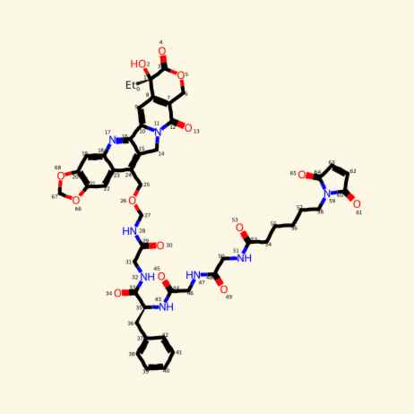 CC[C@@]1(O)C(=O)OCc2c1cc1n(c2=O)Cc2c-1nc1cc3c(cc1c2COCNC(=O)CNC(=O)[C@H](Cc1ccccc1)NC(=O)CNC(=O)CNC(=O)CCCCCN1C(=O)C=CC1=O)OCO3